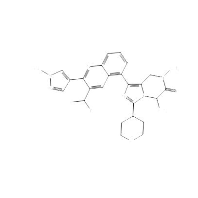 CC1C(=O)N(C)Cc2c(-c3cccc4nc(-c5cnn(C)c5)c(C(F)F)cc34)nc(C3CCOCC3)n21